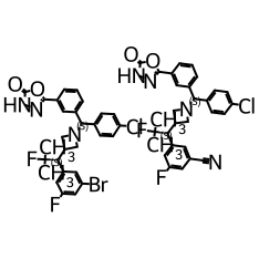 CC(C)(F)[C@H](c1cc(F)cc(Br)c1)C1CN([C@@H](c2ccc(Cl)cc2)c2cccc(-c3n[nH]c(=O)o3)c2)C1.CC(C)(F)[C@H](c1cc(F)cc(C#N)c1)C1CN([C@@H](c2ccc(Cl)cc2)c2cccc(-c3n[nH]c(=O)o3)c2)C1